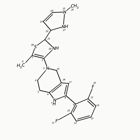 CC1=C(N2CCc3[nH]c(-c4c(F)cccc4F)cc3C2)NC(C2C=CN(C)N2)S1